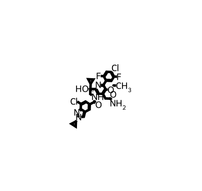 CCOc1c(CC(N)=O)cc([C@@](O)(CNC(=O)c2cc(Cl)c3nn(C4CC4)cc3c2)C2CC2)nc1-c1cc(F)c(Cl)cc1F